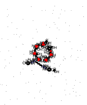 CC(=O)O.CC(=O)O.NC(=N/CCCCCC/N=C(N)/N=C(\N)Nc1ccc(Cl)cc1)/N=C(\N)Nc1ccc(Cl)cc1.OC[C@H]1O[C@@H]2O[C@H]3[C@H](O)[C@@H](O)[C@@H](O[C@H]4[C@H](O)[C@@H](O)[C@@H](O[C@H]5[C@H](O)[C@@H](O)[C@@H](O[C@H]6[C@H](O)[C@@H](O)[C@@H](O[C@H]7[C@H](O)[C@@H](O)[C@@H](O[C@H]8[C@H](O)[C@@H](O)[C@@H](O[C@H]1[C@H](O)[C@H]2O)O[C@@H]8CO)O[C@@H]7CO)O[C@@H]6CO)O[C@@H]5CO)O[C@@H]4CO)O[C@@H]3CO